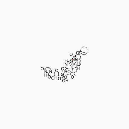 C[C@@H]1C[C@H]2[C@@H]3CCC4=CC(O)C=C[C@]4(C)[C@@]3(F)[C@@H](O)C[C@]2(C)[C@@]1(O)C(=O)COP(=O)(O)OC1C(O)[C@H](n2ccc(=O)[nH]c2=O)O[C@@H]1COC(=O)NCCNC(=O)COC1/C=C\CCCCC1